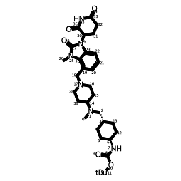 CN(C[C@H]1CC[C@H](NC(=O)OC(C)(C)C)CC1)C1CCN(Cc2cccc3c2n(C)c(=O)n3C2CCC(=O)NC2=O)CC1